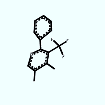 Cc1[c]nc(-c2ccccc2)c(C(F)(F)F)c1C